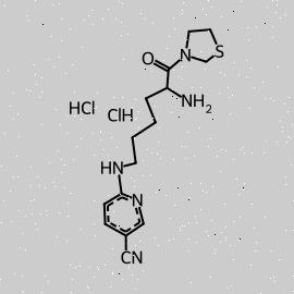 Cl.Cl.N#Cc1ccc(NCCCCC(N)C(=O)N2CCSC2)nc1